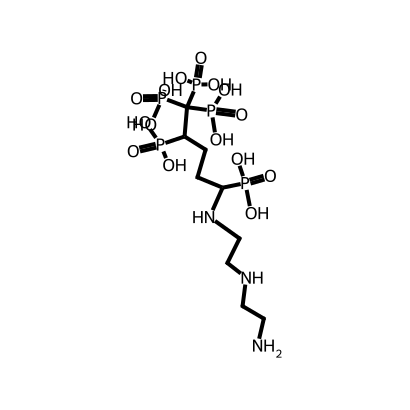 NCCNCCNC(CCC(C(P(=O)(O)O)(P(=O)(O)O)P(=O)(O)O)P(=O)(O)O)P(=O)(O)O